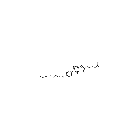 CCCCCCCCCOc1ccc(-c2ncc(OC(=O)CCCCC(C)CC)cn2)cc1